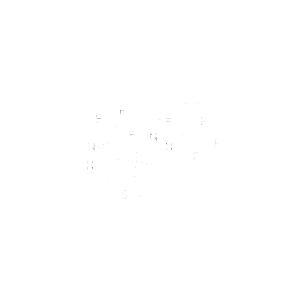 Cc1c(C(C)(Cn2cc(C(C)C)c(C(F)(F)F)n2)C2CS2)c(C(F)(F)F)nn1C